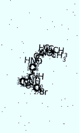 CC(C)(C)OC(=O)N1CC(OC(=O)Nc2ccc(C(=N)CC(NC(=O)c3ccc(Br)cc3)c3ccccn3)cc2)C1